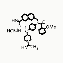 COc1ccccc1C(=O)N(Cc1ccc2ccc(C(=N)N)cc2c1)c1ccc(OC2CCN(C(C)=N)CC2)cc1.Cl.Cl